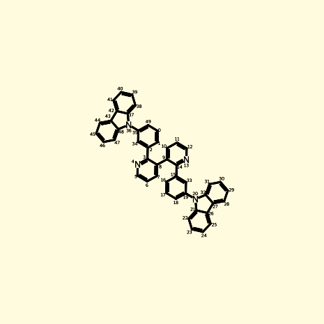 c1cc(-c2ncccc2-c2cccnc2-c2cccc(-n3c4ccccc4c4ccccc43)c2)cc(-n2c3ccccc3c3ccccc32)c1